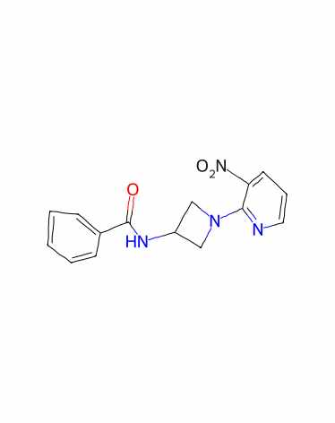 O=C(NC1CN(c2ncccc2[N+](=O)[O-])C1)c1ccccc1